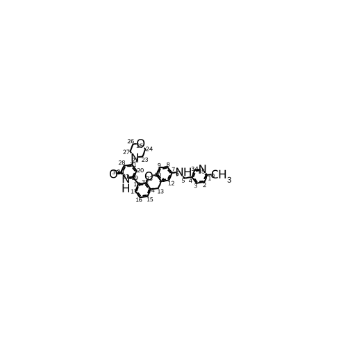 Cc1ccc(CNc2ccc3c(c2)Cc2cccc(-c4cc(N5CCOCC5)cc(=O)[nH]4)c2O3)cn1